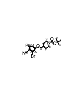 CC(C)(C)OC(=O)N1CCC(COc2cc(F)c(C#N)c(Br)c2)CC1